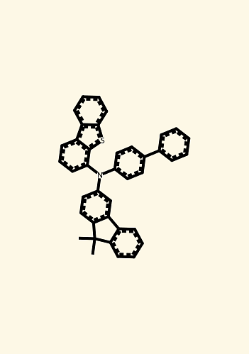 CC1(C)c2ccccc2-c2cc(N(c3ccc(-c4ccccc4)cc3)c3cccc4c3sc3ccccc34)ccc21